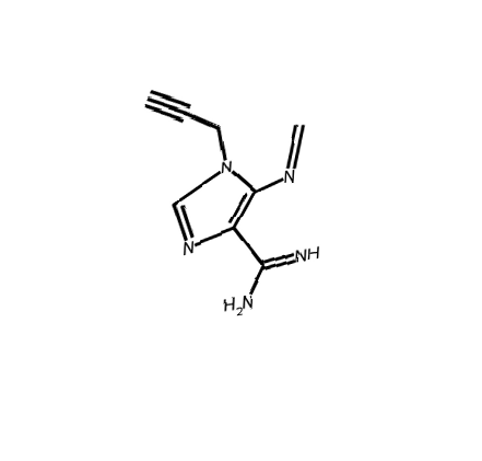 C#CCn1cnc(C(=N)N)c1N=C